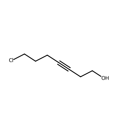 OCCC#CCCCCl